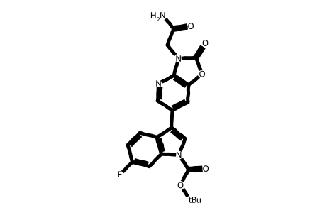 CC(C)(C)OC(=O)n1cc(-c2cnc3c(c2)oc(=O)n3CC(N)=O)c2ccc(F)cc21